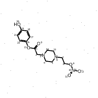 O=C(CN1CCN(CCO[N+](=O)[O-])CC1)Oc1ccc(O)cc1